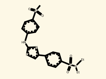 CCN(CC)S(=O)(=O)c1ccc(-c2csc(Nc3ccc(S(C)(=O)=O)cc3)n2)cc1